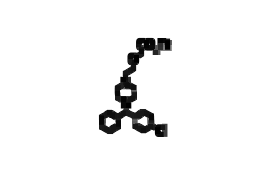 CCOC(=O)COCCN1CCN([C@H](c2ccccc2)c2ccc(Cl)cc2)CC1